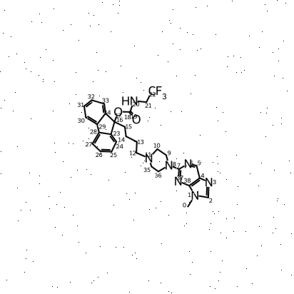 Cn1cnc2cnc(N3CCN(CCCCC4(OC(=O)NCC(F)(F)F)c5ccccc5-c5ccccc54)CC3)nc21